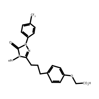 CCCn1c(CCCc2ccc(OCC(=O)O)cc2)nn(-c2ccc(C(F)(F)F)cc2)c1=O